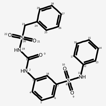 O=C(Nc1cccc(S(=O)(=O)Nc2ccccc2)c1)NS(=O)(=O)Cc1ccccc1